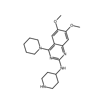 COc1cc2nc(NC3CCNCC3)nc(N3CCCCC3)c2cc1OC